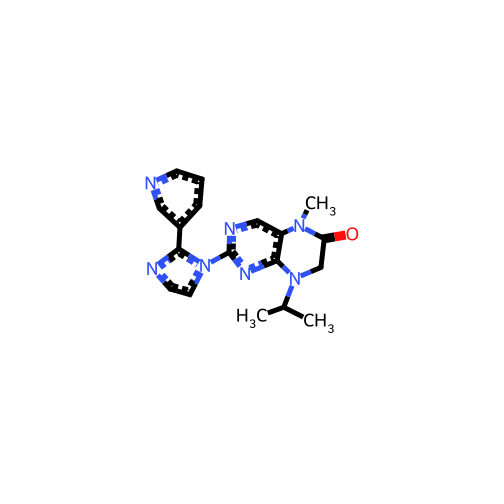 CC(C)N1CC(=O)N(C)c2cnc(-n3ccnc3-c3cccnc3)nc21